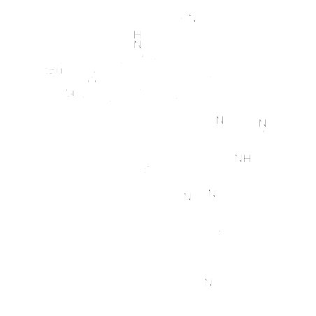 CN1CCC(Cn2nc(Cl)cc2Nc2nccc(-c3cc(C#N)c4c(c3)[C@@](C)(CO[Si](C)(C)C(C)(C)C)CN4)n2)CC1